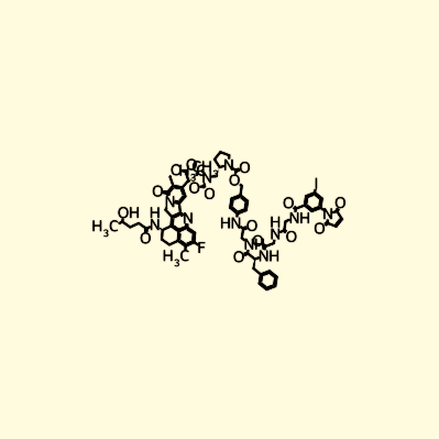 CC[C@@]1(OC(=O)N(C)C[C@@H]2CCCN2C(=O)OCc2ccc(NC(=O)CNC(=O)[C@H](Cc3ccccc3)NC(=O)CNC(=O)CNC(=O)c3cc(I)cc(N4C(=O)C=CC4=O)c3)cc2)C(=O)OCc2c1cc1n(c2=O)Cc2c-1nc1cc(F)c(C)c3c1c2[C@@H](NC(=O)CCC(C)O)CC3